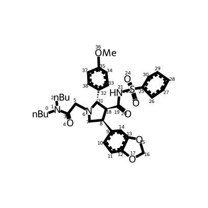 CCCCN(CCCC)C(=O)CN1C[C@H](c2ccc3c(c2)OCO3)[C@H](C(=O)NS(=O)(=O)c2ccccc2)[C@H]1c1ccc(OC)cc1